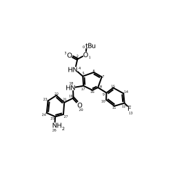 CC(C)(C)OC(=O)Nc1ccc(-c2ccc(F)cc2)cc1NC(=O)c1cccc(N)c1